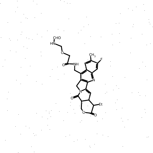 CCC1C(=O)OCC2C(=O)N3Cc4c(nc5cc(F)c(C)cc5c4CNC(=O)COCNC=O)C3=CC12